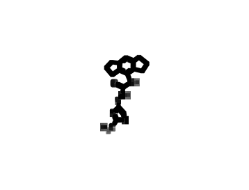 Cc1ncc(SNC(=O)Nc2c3c(cc4c2CCC4)CCC3)s1